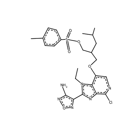 CCn1c(-c2nonc2N)nc2c(Cl)ncc(OCC(COS(=O)(=O)c3ccc(C)cc3)CC(C)C)c21